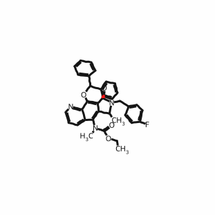 CCOC(=O)N(C)c1c2c(c(OC(c3ccccc3)c3ccccc3)c3ncccc13)C(=O)N(Cc1ccc(F)cc1)C2C